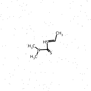 CC=[SH]C(=S)N(C)C